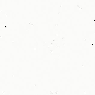 CCOC(=O)C(CC(C)(C(=O)O)c1ccccc1)C(=O)O